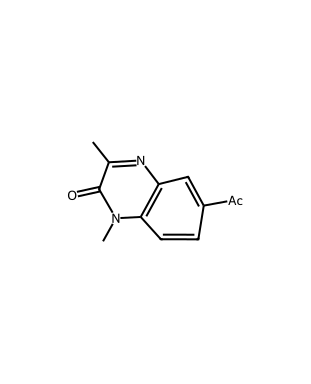 CC(=O)c1ccc2c(c1)nc(C)c(=O)n2C